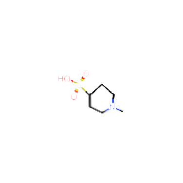 CN1CCC(S(=O)(=O)O)CC1